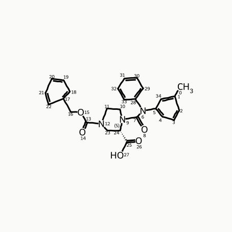 Cc1cccc(N(C(=O)N2CCN(C(=O)OCc3ccccc3)C[C@H]2C(=O)O)c2ccccc2)c1